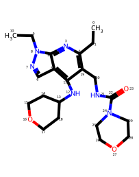 CCc1nc2c(cnn2CC)c(NC2CCOCC2)c1CNC(=O)N1CCOCC1